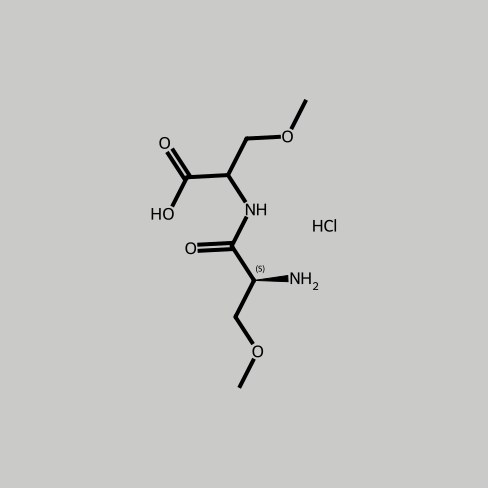 COCC(NC(=O)[C@@H](N)COC)C(=O)O.Cl